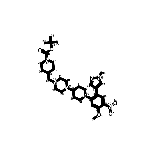 COc1cc(N2CCC(N3CCN(CC4CCN(C(=O)OC(C)(C)C)CC4)CC3)CC2)c(-c2cnn(C)c2)cc1[N+](=O)[O-]